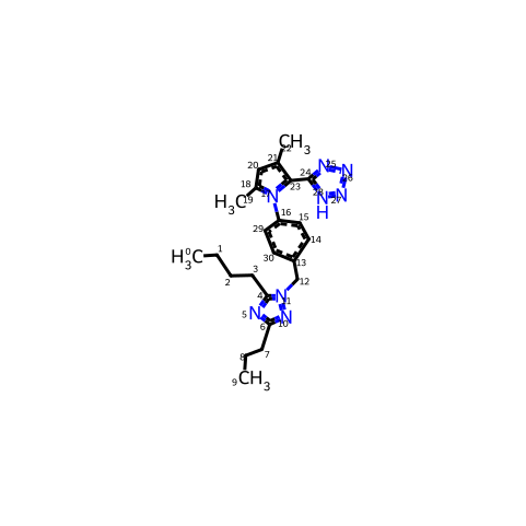 CCCCc1nc(CCC)nn1Cc1ccc(-n2c(C)cc(C)c2-c2nnn[nH]2)cc1